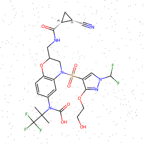 CC(C)(N(C(=O)O)c1ccc2c(c1)N(S(=O)(=O)c1cn(C(F)F)nc1OCCO)CC(CNC(=O)[C@@H]1C[C@@H]1C#N)O2)C(F)(F)F